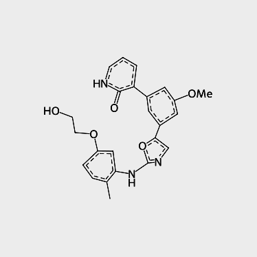 COc1cc(-c2cnc(Nc3cc(OCCO)ccc3C)o2)cc(-c2ccc[nH]c2=O)c1